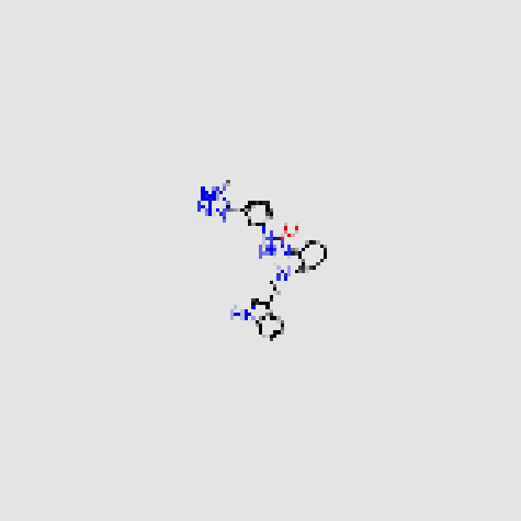 CN(CCc1c[nH]c2ccccc12)C[C@@H]1CCCC[C@H]1NC(=O)Nc1cccc(-c2nnnn2C)c1